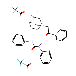 CC(=O)O[C@H]1C[N+]2(CC(=O)c3ccccc3)CCC1CC2.NC(C(=O)Nc1ccccc1)c1ccccc1.O=C(O)C(F)(F)F.O=C([O-])C(F)(F)F